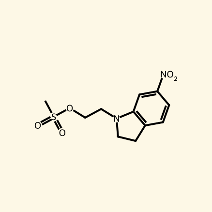 CS(=O)(=O)OCCN1CCc2ccc([N+](=O)[O-])cc21